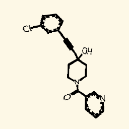 O=C(c1cccnc1)N1CCC(O)(C#Cc2cccc(Cl)c2)CC1